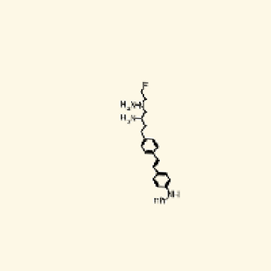 CCCNc1ccc(/C=C/c2ccc(CCC(N)CN(N)CCF)cc2)cc1